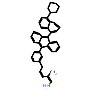 CC(/C=C\Cc1cccc(-c2c3ccccc3c(-c3cccc4c(C5CCCCC5)cccc34)c3ccccc23)c1)=C/N